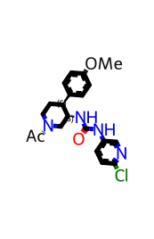 COc1ccc([C@@H]2CCN(C(C)=O)C[C@H]2NC(=O)Nc2ccc(Cl)nc2)cc1